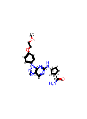 CCOCCOc1ccc(-n2nnc3cnc(N[C@@H]4CC[C@@H](C(N)=O)C4)nc32)cc1